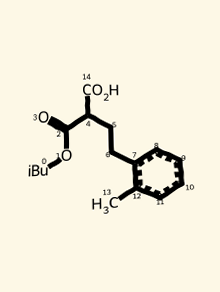 CCC(C)OC(=O)C(CCc1ccccc1C)C(=O)O